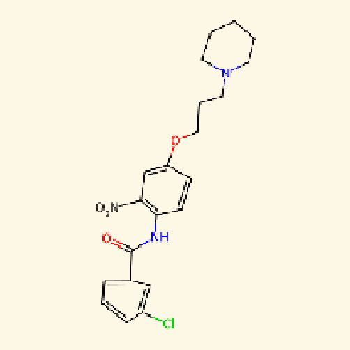 O=C(Nc1ccc(OCCCN2CCCCC2)cc1[N+](=O)[O-])c1cccc(Cl)c1